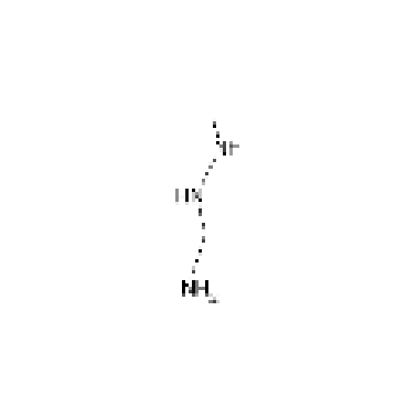 CNNCN